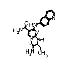 CCC(Nc1ncc(C(N)=O)c(Nc2ccc3ncccc3c2)n1)C(N)=O